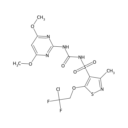 COc1cc(OC)nc(NC(=O)NS(=O)(=O)c2c(C)nsc2OCC(F)(F)Cl)n1